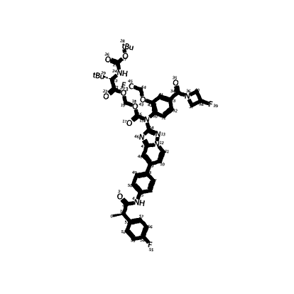 C[C@@H](C(=O)Nc1ccc(-c2ccn3nc(N(C(=O)OCOC(=O)[C@@H](NC(=O)OC(C)(C)C)C(C)(C)C)c4ccc(C(=O)N5CC(F)C5)cc4OCC(F)(F)F)nc3c2)cc1)c1ccc(F)cc1